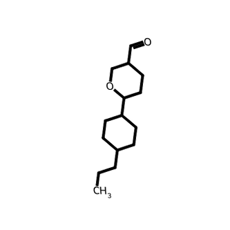 CCCC1CCC(C2CCC(C=O)CO2)CC1